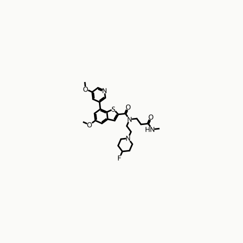 CNC(=O)CCN(CCN1CCC(F)CC1)C(=O)c1cc2cc(OC)cc(-c3cncc(OC)c3)c2s1